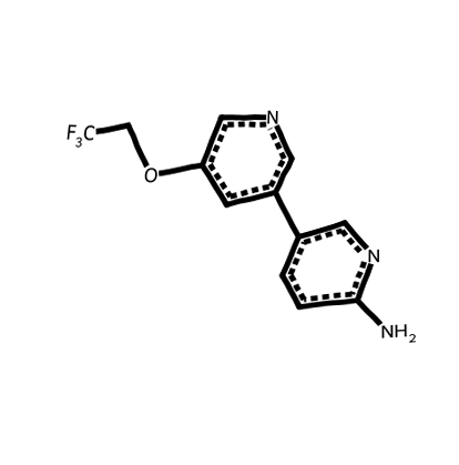 Nc1ccc(-c2cncc(OCC(F)(F)F)c2)cn1